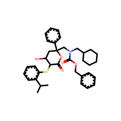 CC(C)c1ccccc1SC1C(=O)OC(CN(CC2CCCCC2)C(=O)OCc2ccccc2)(c2ccccc2)CC1O